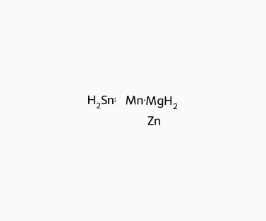 [MgH2].[Mn].[SnH2].[Zn]